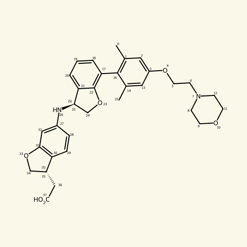 Cc1cc(OCCN2CCOCC2)cc(C)c1-c1cccc2c1OC[C@H]2Nc1ccc2c(c1)OC[C@H]2CC(=O)O